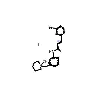 C[N+]1(Cc2cccc(NC(=O)/C=C/c3cccc(Br)c3)c2)CCCCC1.[I-]